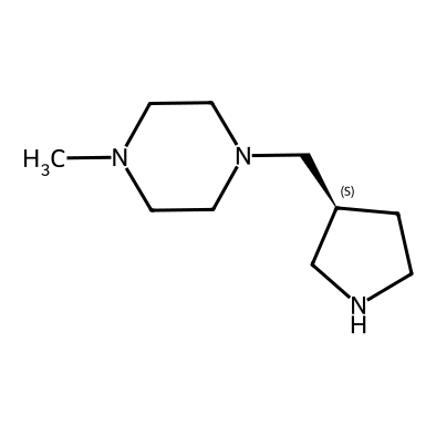 CN1CCN(C[C@H]2CCNC2)CC1